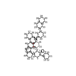 C1=C(c2cccc3c2oc2ccccc23)CCC(N(c2cccc(-c3ccc4ccccc4c3)c2)c2ccccc2-c2ccc3c(c2)sc2ccccc23)=C1